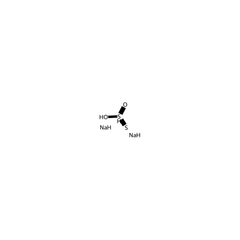 O=[SH](O)=S.[NaH].[NaH]